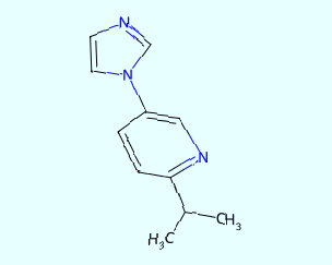 CC(C)c1ccc(-n2ccnc2)cn1